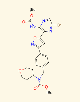 CC(C)(C)OC(=O)Nc1ncc(Br)nc1-c1cc(-c2ccc(CN(C(=O)OC(C)(C)C)C3CCOCC3)cc2)no1